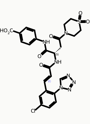 O=C(/C=C/c1cc(Cl)ccc1-n1cnnn1)N[C@@H](CC(=O)N1CCS(=O)(=O)CC1)C(=O)Nc1ccc(C(=O)O)cc1